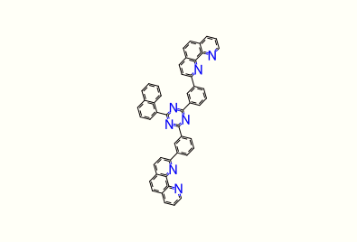 c1cc(-c2ccc3ccc4cccnc4c3n2)cc(-c2nc(-c3cccc(-c4ccc5ccc6cccnc6c5n4)c3)nc(-c3cccc4ccccc34)n2)c1